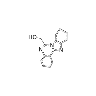 OCc1nc2ccccc2c2nc3ccccc3n12